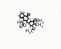 COc1cc(C2OC(=O)Nc3c2cc(Br)c2ccccc32)cc(OC)c1C